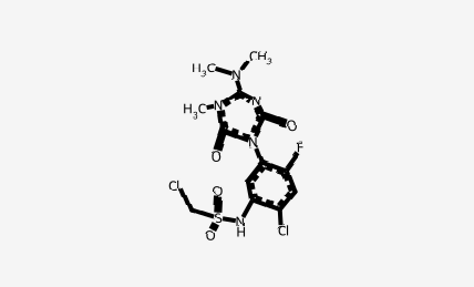 CN(C)c1nc(=O)n(-c2cc(NS(=O)(=O)CCl)c(Cl)cc2F)c(=O)n1C